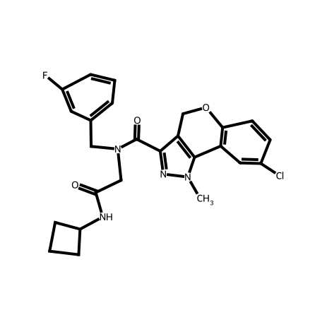 Cn1nc(C(=O)N(CC(=O)NC2CCC2)Cc2cccc(F)c2)c2c1-c1cc(Cl)ccc1OC2